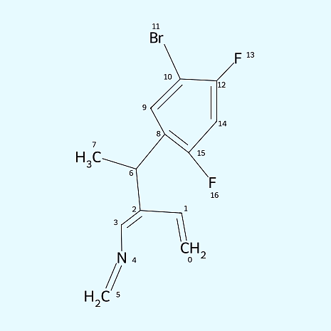 C=C/C(=C\N=C)C(C)c1cc(Br)c(F)cc1F